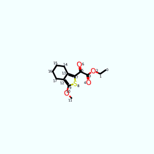 CCOC(=O)C(=O)c1sc(OC)c2c1CCCC2